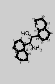 N[C@@H](c1cccc2ccccc12)[C@H](O)c1cccc2ccccc12